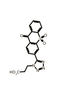 O=C(O)CCn1nnnc1-c1ccc2c(c1)S(=O)(=O)c1ccccc1C2=O